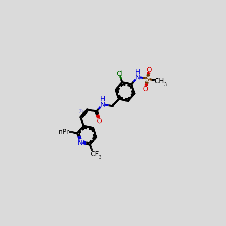 CCCc1nc(C(F)(F)F)ccc1/C=C\C(=O)NCc1ccc(NS(C)(=O)=O)c(Cl)c1